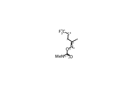 CNC(=O)ON=C(C)CSC(F)(F)F